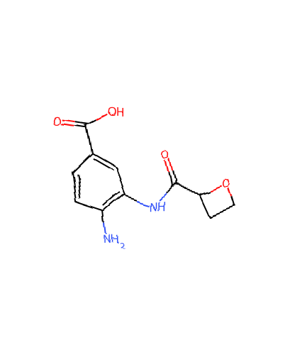 Nc1ccc(C(=O)O)cc1NC(=O)C1CCO1